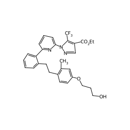 CCOC(=O)c1cnn(-c2cccc(-c3ccccc3CCc3ccc(OCCCO)cc3C)n2)c1C(F)(F)F